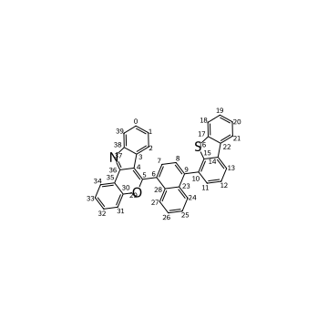 c1ccc2c3c(-c4ccc(-c5cccc6c5sc5ccccc56)c5ccccc45)oc4ccccc4c-3nc2c1